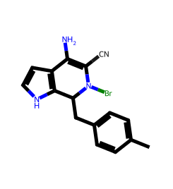 Cc1ccc(CC2c3[nH]ccc3C(N)=C(C#N)N2Br)cc1